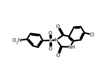 O=c1[nH]c2cc(Cl)ccc2c(=O)n1S(=O)(=O)c1ccc([N+](=O)[O-])cc1